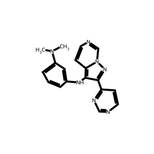 CN(C)c1cccc(Nc2c(-c3ccncn3)nn3cnccc23)c1